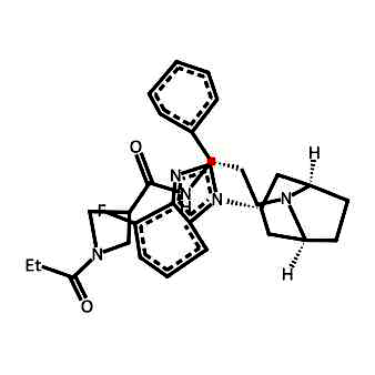 CCC(=O)N1CC(C(=O)N[C@@H](CCN2[C@@H]3CC[C@H]2C[C@H](n2cnc4c(F)cccc42)C3)c2ccccc2)C1